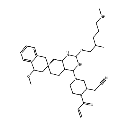 C=CC(=O)N1CCN(C2NC(OCC(C)CCCNC)NC3C[C@]4(CCC32)Cc2ccccc2C(OC)C4)CC1CC#N